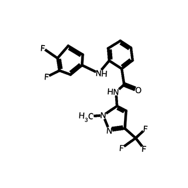 Cn1nc(C(F)(F)F)cc1NC(=O)c1ccccc1Nc1ccc(F)c(F)c1